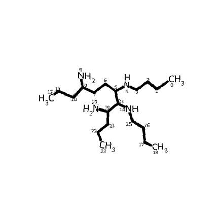 CCCCNC(CCC(N)CCC)C(NCCCC)C(N)CCC